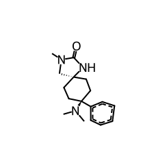 CN1C[C@]2(CC[C@](c3ccccc3)(N(C)C)CC2)NC1=O